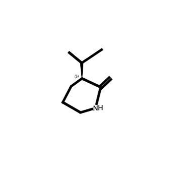 C=C1NCCC[C@H]1C(C)C